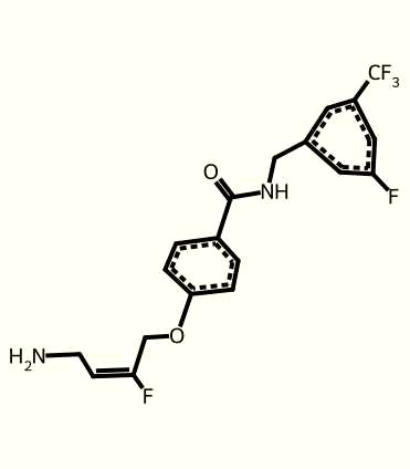 NC/C=C(/F)COc1ccc(C(=O)NCc2cc(F)cc(C(F)(F)F)c2)cc1